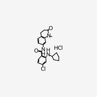 CN1C(=O)CCc2ccc(NC(=O)c3ccc(Cl)cc3NC3CCCC3)cc21.Cl